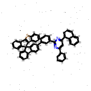 c1ccc(-c2cc(-c3cccc4ccccc34)nc(-c3cccc(-c4ccc5c(c4)C4(c6ccccc6-5)c5ccccc5-c5sc6ccccc6c54)c3)n2)cc1